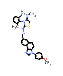 CN=C1CSC(=NN=Cc2ccc3c(ccc4c3ncn4-c3ccc(OC(F)(F)F)cc3)c2)N1c1c(C)cccc1C